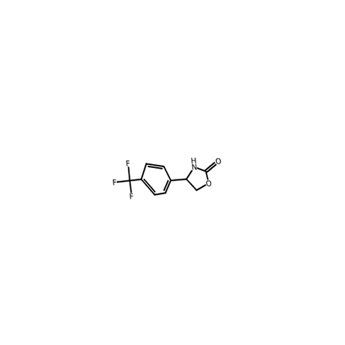 O=C1NC(c2ccc(C(F)(F)F)cc2)CO1